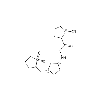 N#C[C@@H]1CCCN1C(=O)CN[C@@H]1CC[C@H](CN2CCCS2(=O)=O)C1